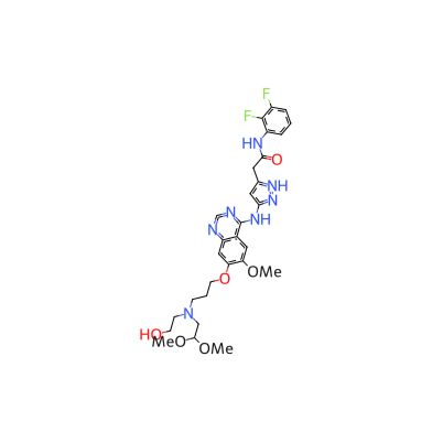 COc1cc2c(Nc3cc(CC(=O)Nc4cccc(F)c4F)[nH]n3)ncnc2cc1OCCCN(CCO)CC(OC)OC